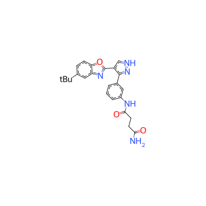 CC(C)(C)c1ccc2oc(-c3c[nH]nc3-c3cccc(NC(=O)CCC(N)=O)c3)nc2c1